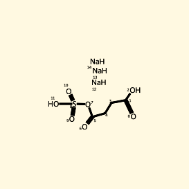 O=C(O)CCC(=O)OS(=O)(=O)O.[NaH].[NaH].[NaH]